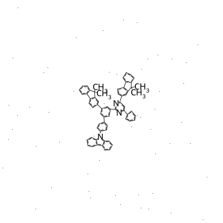 CC1(C)c2ccccc2-c2ccc(-c3cc(-c4ccc(-n5c6ccccc6c6ccccc65)cc4)cc(-c4nc(-c5ccccc5)cc(-c5ccc6c(c5)C(C)(C)c5ccccc5-6)n4)c3)cc21